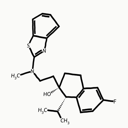 CC(C)[C@H]1c2ccc(F)cc2CC[C@]1(O)CCN(C)c1nc2ccccc2s1